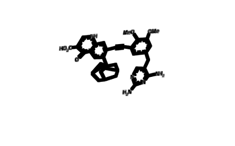 COc1cc(Cc2cnc(N)nc2N)cc(C#Cc2cc3[nH]cc(C(=O)O)c(=O)c3cc2C23CC4CC(CC(C4)C2)C3)c1OC